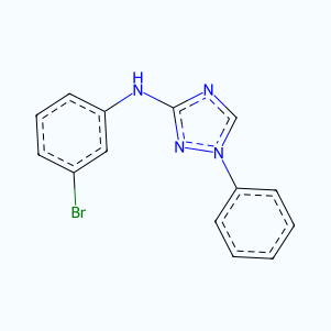 Brc1cccc(Nc2ncn(-c3ccccc3)n2)c1